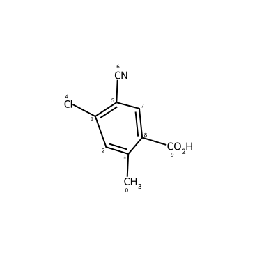 Cc1cc(Cl)c(C#N)cc1C(=O)O